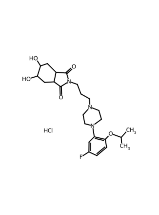 CC(C)Oc1ccc(F)cc1N1CCN(CCCN2C(=O)C3CC(O)C(O)CC3C2=O)CC1.Cl